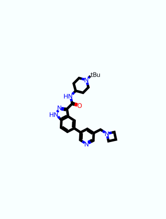 CC(C)(C)N1CCC(NC(=O)c2n[nH]c3ccc(-c4cncc(CN5CCC5)c4)cc23)CC1